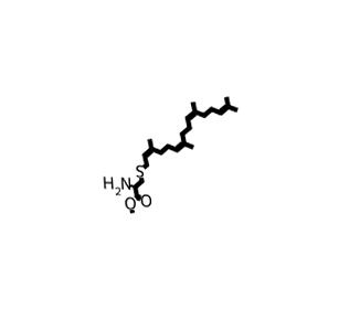 COC(=O)[C@@H](N)CSCC=C(C)CCC=C(C)CCC=C(C)CCC=C(C)C